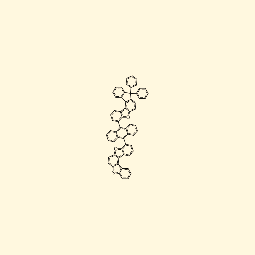 c1ccc(C2(c3ccccc3)c3ccccc3-c3c2ccc2oc4c(-c5c6ccccc6c(-c6cccc7c6oc6ccc8sc9ccccc9c8c67)c6ccccc56)cccc4c32)cc1